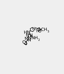 Cc1cc(CN2CCC(Nc3nc(N)n4nc(-c5ccco5)nc4n3)CC2)no1